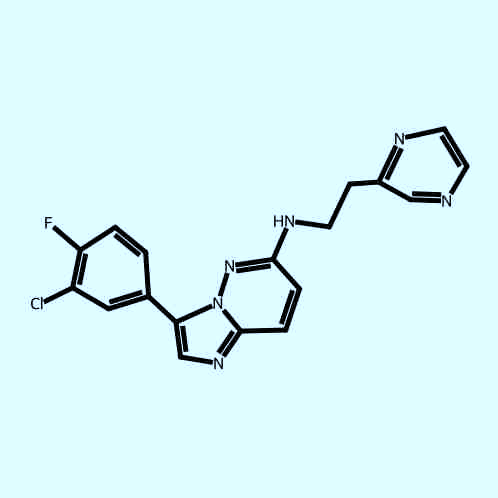 Fc1ccc(-c2cnc3ccc(NCCc4cnccn4)nn23)cc1Cl